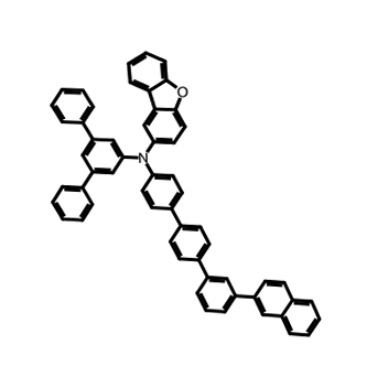 c1ccc(-c2cc(-c3ccccc3)cc(N(c3ccc(-c4ccc(-c5cccc(-c6ccc7ccccc7c6)c5)cc4)cc3)c3ccc4oc5ccccc5c4c3)c2)cc1